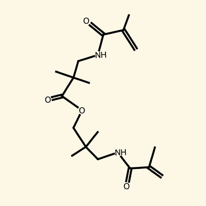 C=C(C)C(=O)NCC(C)(C)COC(=O)C(C)(C)CNC(=O)C(=C)C